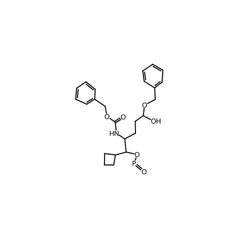 O=POC(C1CCC1)C(CCC(O)OCc1ccccc1)NC(=O)OCc1ccccc1